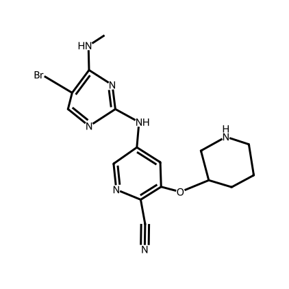 CNc1nc(Nc2cnc(C#N)c(OC3CCCNC3)c2)ncc1Br